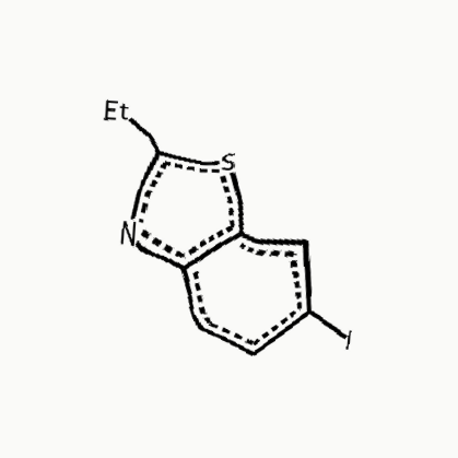 CCc1nc2ccc(I)cc2s1